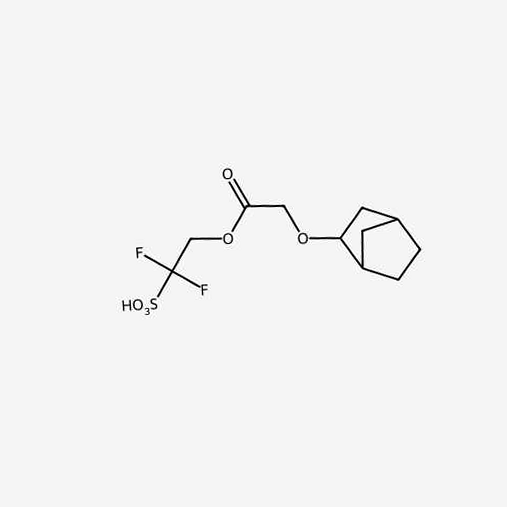 O=C(COC1CC2CCC1C2)OCC(F)(F)S(=O)(=O)O